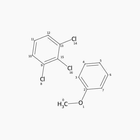 COc1ccccc1.Clc1cccc(Cl)c1Cl